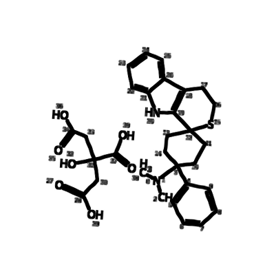 CN(C)C1(c2ccccc2)CCC2(CC1)SCCc1c2[nH]c2ccccc12.O=C(O)CC(O)(CC(=O)O)C(=O)O